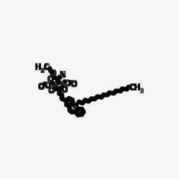 C=CCOC(=O)C(C#N)=c1n(COC=O)c(=O)c(=C/C=C/c2ccc3c(c2)C=Cc2ccccc2N3CCCCCCCCCCCCCCCCCC)c(=O)n1COC=O